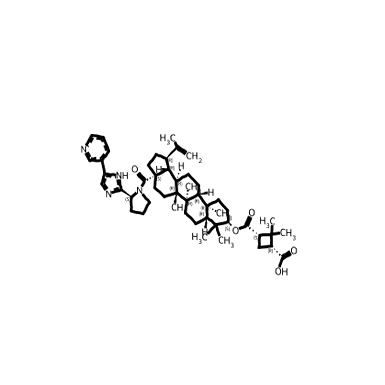 C=C(C)[C@@H]1CC[C@]2(C(=O)N3CCC[C@H]3c3ncc(-c4cccnc4)[nH]3)CC[C@]3(C)[C@H](CC[C@@H]4[C@@]5(C)CC[C@H](OC(=O)[C@H]6C[C@@H](C(=O)O)C6(C)C)C(C)(C)[C@@H]5CC[C@]43C)[C@@H]12